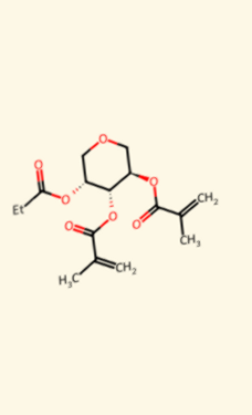 C=C(C)C(=O)O[C@@H]1[C@H](OC(=O)CC)COC[C@H]1OC(=O)C(=C)C